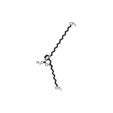 CCCCCCCCCCCCCCCCN1C=CN(C(C)C)C1CCCCCCCCCCCC